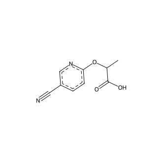 CC(Oc1ccc(C#N)cn1)C(=O)O